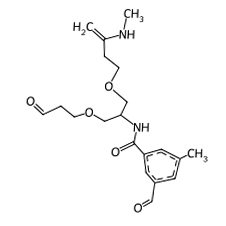 C=C(CCOCC(COCCC=O)NC(=O)c1cc(C)cc(C=O)c1)NC